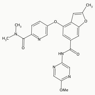 COc1cnc(NC(=O)c2cc(Oc3ccc(C(=O)N(C)C)nc3)c3cc(C)oc3c2)cn1